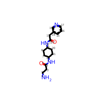 NCCC(=O)NC1CCC(NC(=O)Cc2cccnc2)CC1